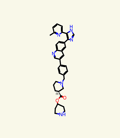 Cc1cccc(-c2[nH]cnc2-c2ccc3ncc(-c4ccc(CN5CCC[C@H](C(=O)OC6CCNCC6)C5)cc4)cc3c2)n1